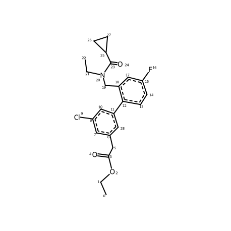 CCOC(=O)Cc1cc(Cl)cc(-c2ccc(F)cc2CN(CC)C(=O)C2CC2)c1